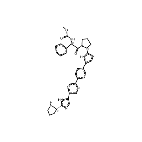 COC(=O)N[C@@H](C(=O)N1CCC[C@H]1c1ncc(-c2ccc(-c3cnc(-c4cnc([C@@H]5CCCN5)[nH]4)cn3)cc2)[nH]1)c1ccccc1